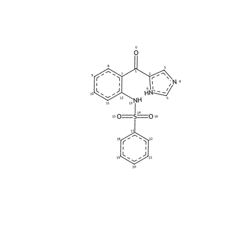 O=C(c1cnc[nH]1)c1ccccc1NS(=O)(=O)c1ccccc1